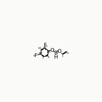 C=COBOc1ccc(F)cc1F